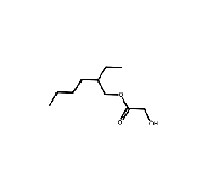 CCCCC(CC)COC(=O)CO